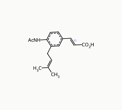 CC(=O)Nc1ccc(/C=C/C(=O)O)cc1CC=C(C)C